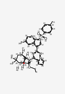 CCOC(=O)[C@H]1[C@H](Nc2nc(-c3cn(S(=O)(=O)c4ccc(C)cc4)c4ncc(F)cc34)nn3cccc23)[C@@H]2CC[C@H]1C(F)(F)C2